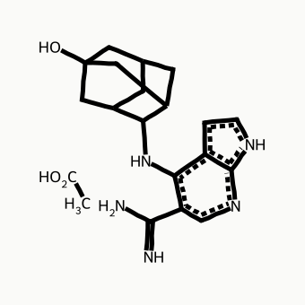 CC(=O)O.N=C(N)c1cnc2[nH]ccc2c1NC1C2CC3CC1CC(O)(C3)C2